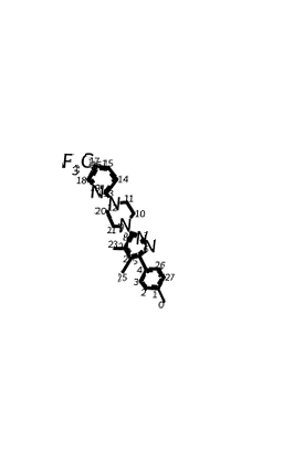 Cc1ccc(-c2nnc(N3CCN(c4ccc(C(F)(F)F)cn4)CC3)c(C)c2C)cc1